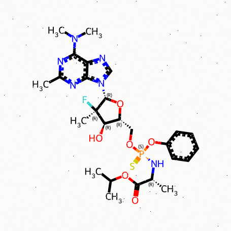 Cc1nc(N(C)C)c2ncn([C@@H]3O[C@H](CO[P@@](=S)(N[C@H](C)C(=O)OC(C)C)Oc4ccccc4)[C@@H](O)[C@@]3(C)F)c2n1